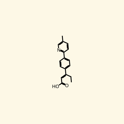 CC/C(=C\C(=O)O)c1ccc(-c2ccc(C)cn2)cc1